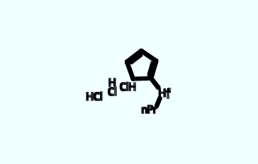 CC[CH2][Hf][C]1=CC=CC1.Cl.Cl.Cl